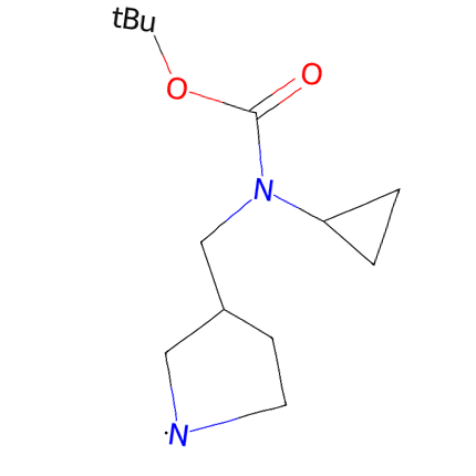 CC(C)(C)OC(=O)N(CC1CC[N]C1)C1CC1